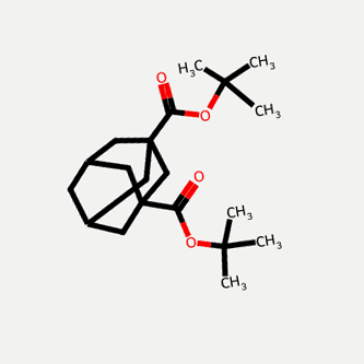 CC(C)(C)OC(=O)C12CC3CC(C1)CC(C(=O)OC(C)(C)C)(C3)C2